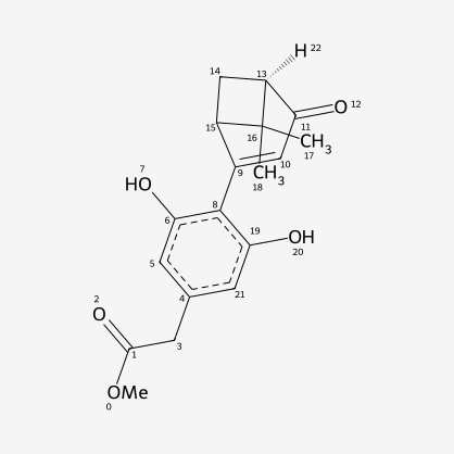 COC(=O)Cc1cc(O)c(C2=CC(=O)[C@@H]3CC2C3(C)C)c(O)c1